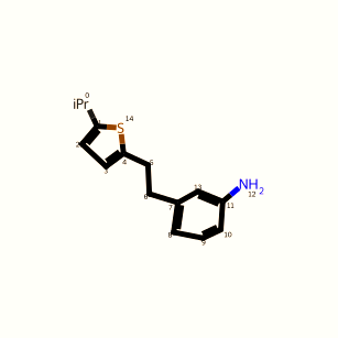 CC(C)c1ccc(CCc2cccc(N)c2)s1